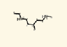 CCNCCC(C)CCNC